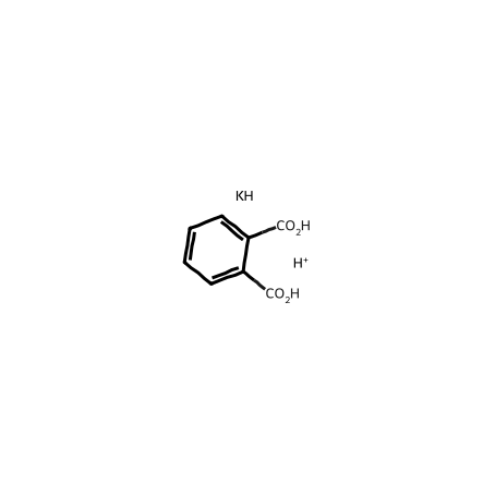 O=C(O)c1ccccc1C(=O)O.[H+].[KH]